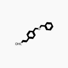 O=C/C=C/c1ccc(COCc2ccccc2)cc1